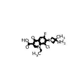 CCn1cc(C(=O)O)c(=O)c2cc(F)c(N3CC(C)(N)C3)c(Cl)c21